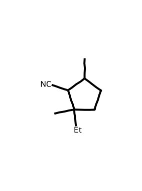 CCC1(C)CCC(C)C1C#N